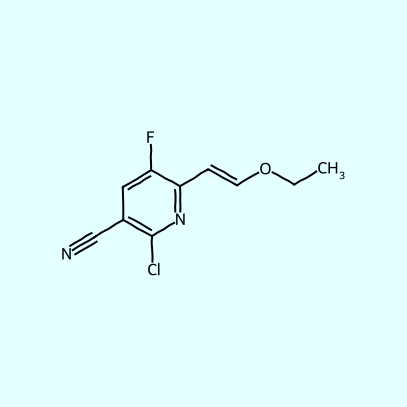 CCO/C=C/c1nc(Cl)c(C#N)cc1F